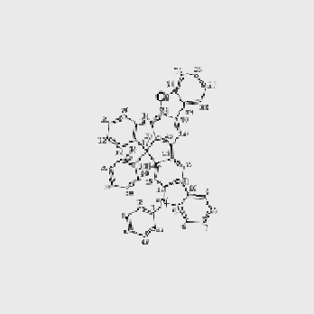 c1ccc(-n2c3ccccc3c3cc4c(cc32)C(c2ccccc2)(c2ccccc2)c2cc3oc5ccccc5c3cc2-4)cc1